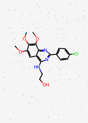 COc1cc2c(NCCO)nc(-c3ccc(Cl)cc3)nc2c(OC)c1OC